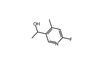 Cc1cc(F)ncc1C(C)O